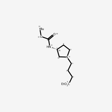 CCOC(=O)CCCN1CC[C@@H](NC(=O)OC(C)(C)C)C1